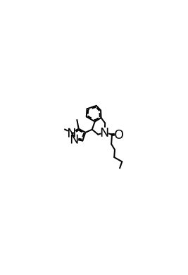 CCCCCC(=O)N1Cc2ccccc2C(c2cnn(C)c2C)C1